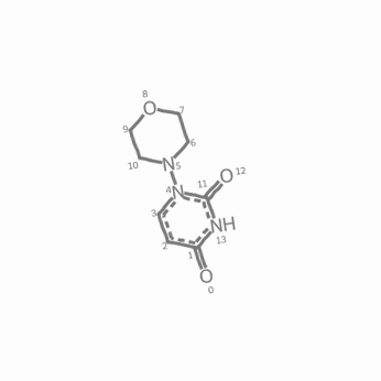 O=c1ccn(N2CCOCC2)c(=O)[nH]1